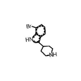 Brc1cccc2c(C3CCNCC3)c[nH]c12